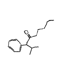 CCCCCC(=O)C(c1ccccc1)C(C)C